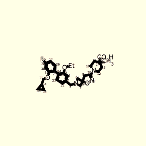 CCOc1cc(CN2CC3(CC(N4CCC(C)(C(=O)O)CC4)=NO3)C2)ccc1-c1ccc(F)cc1OCC1CC1